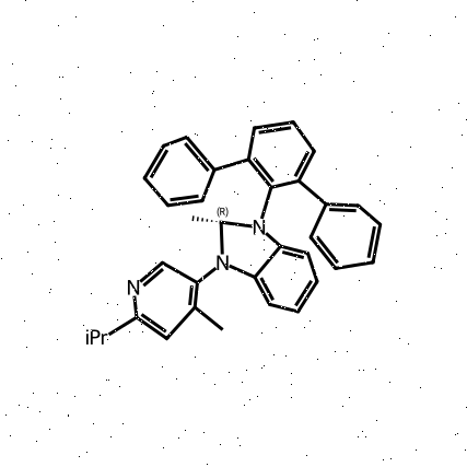 Cc1cc(C(C)C)ncc1N1c2ccccc2N(c2c(-c3ccccc3)cccc2-c2ccccc2)[C@H]1C